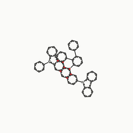 c1ccc(-c2ccccc2-c2c(-c3ccccc3)cccc2N(c2cccc(-n3c4ccccc4c4ccccc43)c2)c2ccc3c(c2)c2ccccc2n3-c2ccccc2)cc1